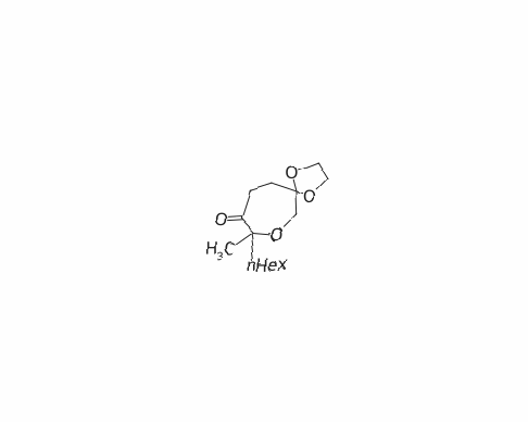 CCCCCCC1(C)OCC2(CCC1=O)OCCO2